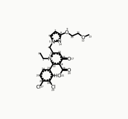 CCn1c(Cn2ccc(OCCOC)n2)cc(=O)c(C(=O)O)c1-c1ccc(Cl)c(Cl)c1